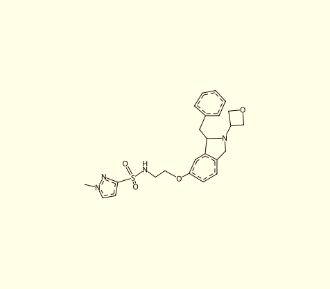 Cn1ccc(S(=O)(=O)NCCOc2ccc3c(c2)C(Cc2ccccc2)N(C2COC2)C3)n1